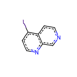 Ic1ccnc2cnccc12